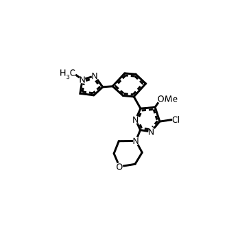 COc1c(Cl)nc(N2CCOCC2)nc1-c1cccc(-c2ccn(C)n2)c1